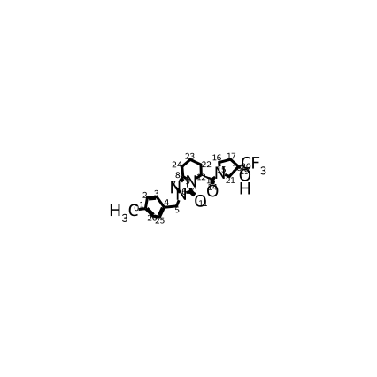 Cc1ccc(Cn2nc3n(c2=O)[C@H](C(=O)N2CC[C@](O)(C(F)(F)F)C2)CCC3)cc1